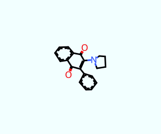 O=C1C(c2ccccc2)=C(N2CCCC2)C(=O)c2ccccc21